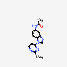 CSc1nccc(-n2cnc3cc(NC(=O)C(C)(C)C)ccc32)n1